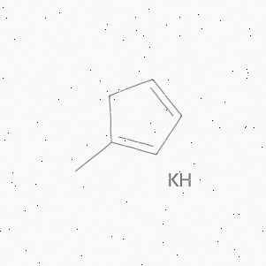 CC1=CC=CC1.[KH]